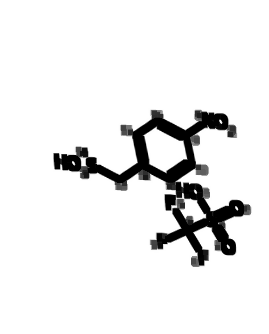 O=S(=O)(O)C(F)(F)F.O=[N+]([O-])c1ccc(CS(=O)(=O)O)cc1